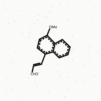 COc1ccc(/C=C/C=O)c2ccccc12